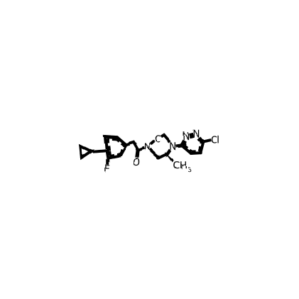 C[C@H]1CN(C(=O)Cc2ccc(C3CC3)c(F)c2)CCN1c1ccc(Cl)nn1